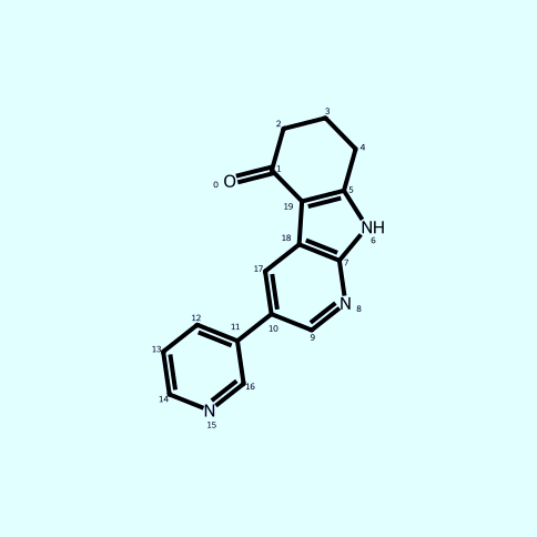 O=C1CCCc2[nH]c3ncc(-c4cccnc4)cc3c21